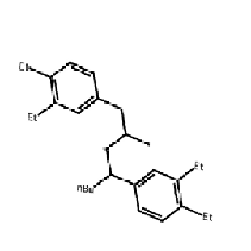 CCCCC([CH]C(C)Cc1ccc(CC)c(CC)c1)c1ccc(CC)c(CC)c1